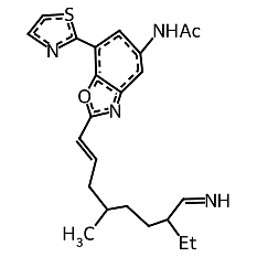 CCC(C=N)CCC(C)C/C=C/c1nc2cc(NC(C)=O)cc(-c3nccs3)c2o1